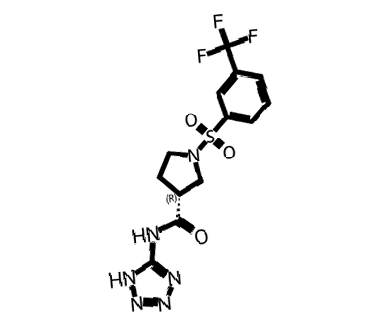 O=C(Nc1nnn[nH]1)[C@@H]1CCN(S(=O)(=O)c2cccc(C(F)(F)F)c2)C1